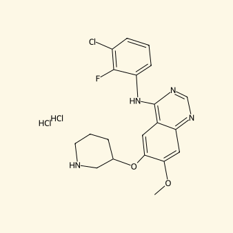 COc1cc2ncnc(Nc3cccc(Cl)c3F)c2cc1OC1CCCNC1.Cl.Cl